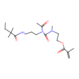 C=C(C)C(=O)OCCN(C)C(=O)N(CCCNC(=O)C(C)(C)CC)C(C)=O